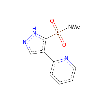 CNS(=O)(=O)c1[nH]ncc1-c1ccccn1